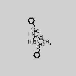 CCC(NC(=O)OCc1ccccc1)NC(CC)NC(=O)OCc1ccccc1